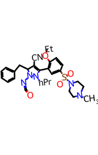 CCCN1C(c2cc(S(=O)(=O)N3CCN(C)CC3)ccc2OCC)=C(C#N)C(Cc2ccccc2)N1N=C=O